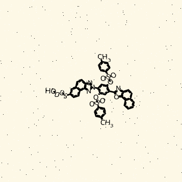 Cc1ccc(S(=O)(=O)Oc2cc(-n3nc4ccc5cc(SOOO)ccc5c4n3)c(OS(=O)(=O)c3ccc(C)cc3)cc2-c2nc3ccc4ccccc4c3o2)cc1